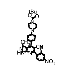 Cc1n[nH]c2nc(-c3ccc([N+](=O)[O-])cc3F)c(C#N)c(-c3ccc(N4CCN(C(=O)OC(C)(C)C)CC4)cc3)c12